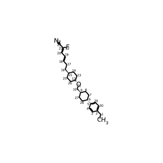 CCc1ccc([C@H]2CC[C@H](CO[C@H]3CC[C@H](CC/C=C/C=C(\F)C#N)CC3)CC2)cc1